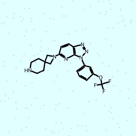 FC(F)(F)Oc1cccc(-n2nnc3ccc(N4CC5(CCNCC5)C4)nc32)c1